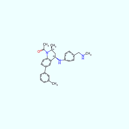 CNCc1ccc(N[C@@H]2C[C@H](C)N(C(C)=O)c3ccc(-c4cccc(C)c4)cc32)cc1